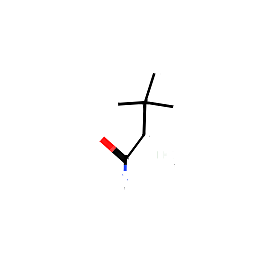 CC(C)(C)CC(N)=O.Cl